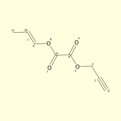 C#CCOC(=O)C(=O)O/C=C/C